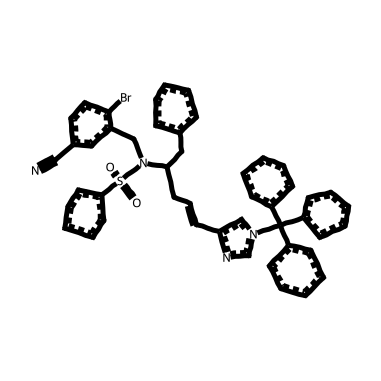 N#Cc1ccc(Br)c(CN(C(CC=Cc2cn(C(c3ccccc3)(c3ccccc3)c3ccccc3)cn2)Cc2ccccc2)S(=O)(=O)c2ccccc2)c1